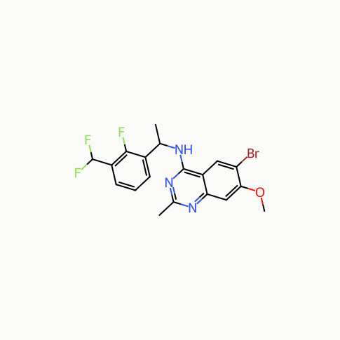 COc1cc2nc(C)nc(NC(C)c3cccc(C(F)F)c3F)c2cc1Br